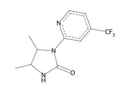 CC1NC(=O)N(c2cc(C(F)(F)F)ccn2)C1C